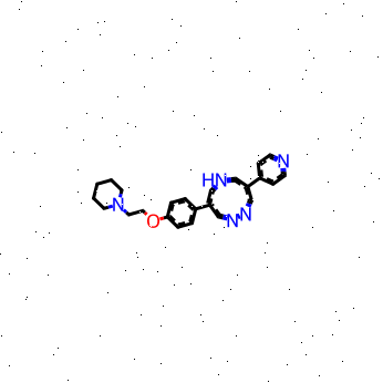 c1cc(-c2cnncc(-c3ccc(OCCN4CCCCC4)cc3)c[nH]c2)ccn1